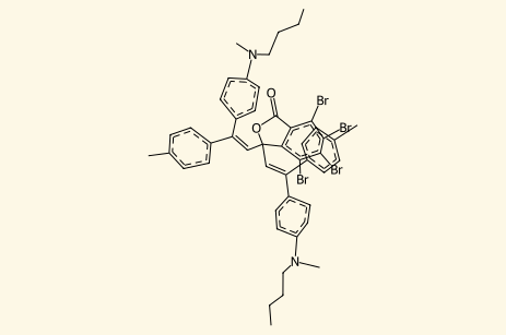 CCCCN(C)c1ccc(C(=CC2(C=C(c3ccc(C)cc3)c3ccc(N(C)CCCC)cc3)OC(=O)c3c(Br)c(Br)c(Br)c(Br)c32)c2ccc(C)cc2)cc1